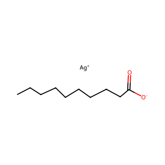 CCCCCCCCCC(=O)[O-].[Ag+]